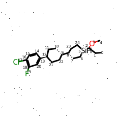 CCC(OC)[Si@H]1CC[C@H]([C@H]2CC[C@H](c3ccc(Cl)c(F)c3)CC2)CC1